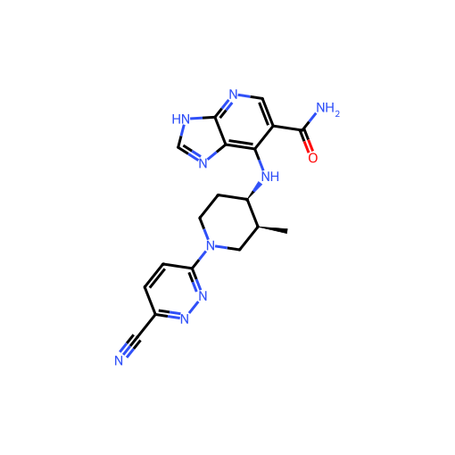 C[C@H]1CN(c2ccc(C#N)nn2)CC[C@H]1Nc1c(C(N)=O)cnc2[nH]cnc12